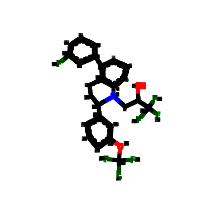 OC(CN1c2cccc(-c3cccc(F)c3)c2CCC1c1cccc(OC(F)(F)F)c1)C(F)(F)F